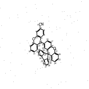 N#Cc1ccc2c(c1)Oc1ccccc1N2c1ccc2c(c1)C1(c3ccccc3O2)c2cccnc2-c2ncccc21